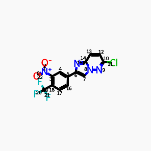 O=[N+]([O-])c1cc(-c2cn3nc(Cl)ccc3n2)ccc1C(F)(F)F